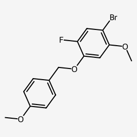 COc1ccc(COc2cc(OC)c(Br)cc2F)cc1